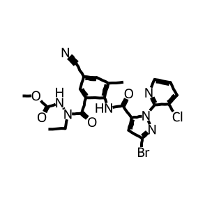 CCN(NC(=O)OC)C(=O)c1cc(C#N)cc(C)c1NC(=O)c1cc(Br)nn1-c1ncccc1Cl